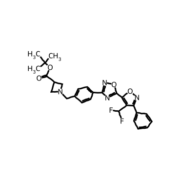 CC(C)(C)OC(=O)C1CN(Cc2ccc(-c3noc(-c4onc(-c5ccccc5)c4C(F)F)n3)cc2)C1